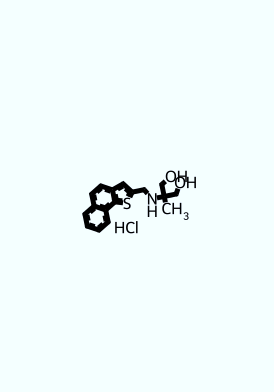 CC(CO)(CO)NCc1cc2ccc3ccccc3c2s1.Cl